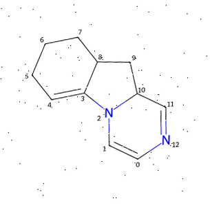 C1=CN2C3=CCCCC3CC2C=N1